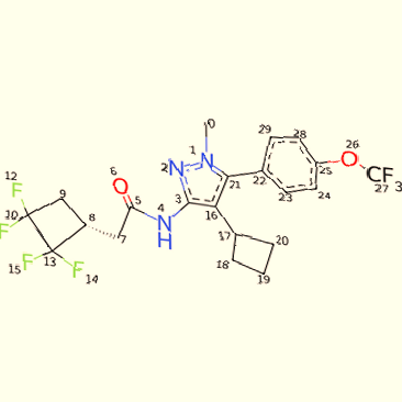 Cn1nc(NC(=O)C[C@H]2CC(F)(F)C2(F)F)c(C2CCC2)c1-c1ccc(OC(F)(F)F)cc1